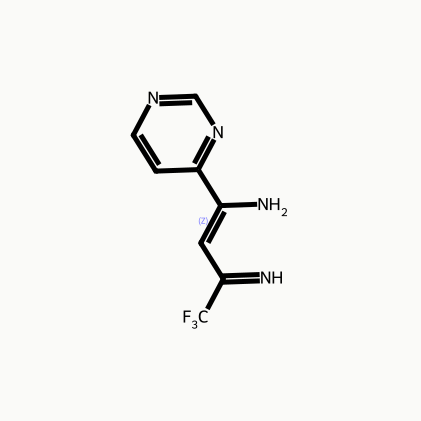 N=C(/C=C(\N)c1ccncn1)C(F)(F)F